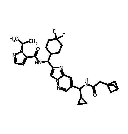 CC(C)n1nccc1C(=O)N[C@H](c1cn2ncc(C(NC(=O)CC34CC(C3)C4)C3CC3)cc2n1)C1CCC(F)(F)CC1